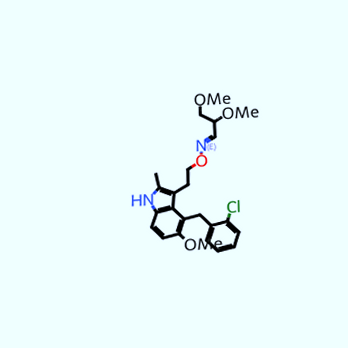 COCC(/C=N/OCCc1c(C)[nH]c2ccc(OC)c(Cc3ccccc3Cl)c12)OC